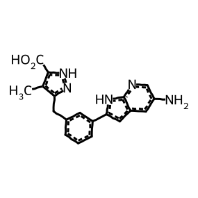 Cc1c(Cc2cccc(-c3cc4cc(N)cnc4[nH]3)c2)n[nH]c1C(=O)O